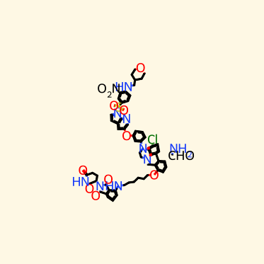 NC=O.O=C1CCC(N2C(=O)c3cccc(NCCCCCCOc4cccc(-c5ccc(Cl)cc5)c4CN4CCN(c5cccc(Oc6cnc7c(ccn7S(=O)(=O)c7ccc(NCC8CCOCC8)c([N+](=O)[O-])c7)c6)c5)CC4)c3C2=O)C(=O)N1